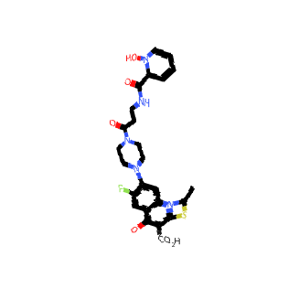 CC1Sc2c(C(=O)O)c(=O)c3cc(F)c(N4CCN(C(=O)CCNC(=O)C5C=CC=CN5O)CC4)cc3n21